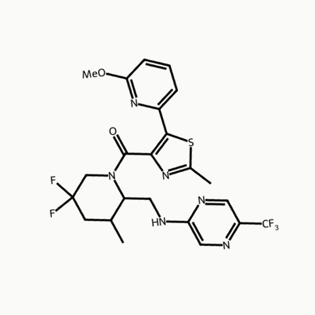 COc1cccc(-c2sc(C)nc2C(=O)N2CC(F)(F)CC(C)C2CNc2cnc(C(F)(F)F)cn2)n1